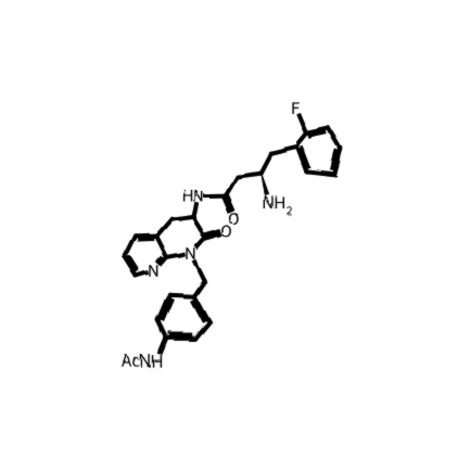 CC(=O)Nc1ccc(CN2C(=O)C(NC(=O)C[C@H](N)Cc3ccccc3F)Cc3cccnc32)cc1